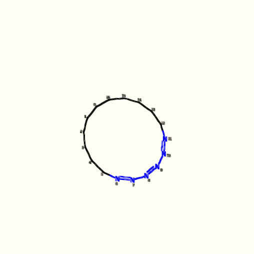 C1CCCCCN=NN=NN=NCCCCC1